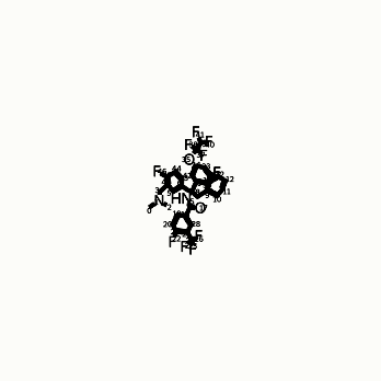 CN(C)Cc1cc(C(Cc2ccccc2)(NC(=O)c2ccc(F)c(C(F)(F)F)c2)c2cc(F)cc(OC(F)(F)C(F)F)c2)ccc1F